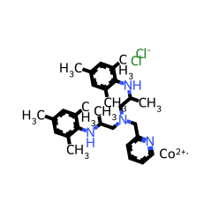 Cc1cc(C)c(NC(C)CN(Cc2ccccn2)CC(C)Nc2c(C)cc(C)cc2C)c(C)c1.[Cl-].[Cl-].[Co+2]